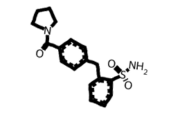 NS(=O)(=O)c1ccccc1Cc1ccc(C(=O)N2CCCC2)cc1